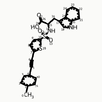 Cc1ccc(C#Cc2ccc(S(=O)(=O)NC(Cc3c[nH]c4ccccc34)C(=O)O)s2)cc1